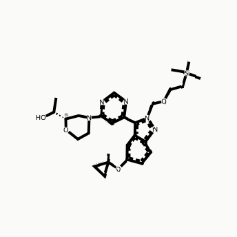 CC(O)[C@@H]1CN(c2cc(-c3c4cc(OC5(C)CC5)ccc4nn3COCC[Si](C)(C)C)ncn2)CCO1